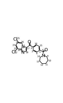 O=C(c1ccc(C(=O)N2CCCCCC2)cc1)c1cnc2c(Cl)cc(Cl)cn12